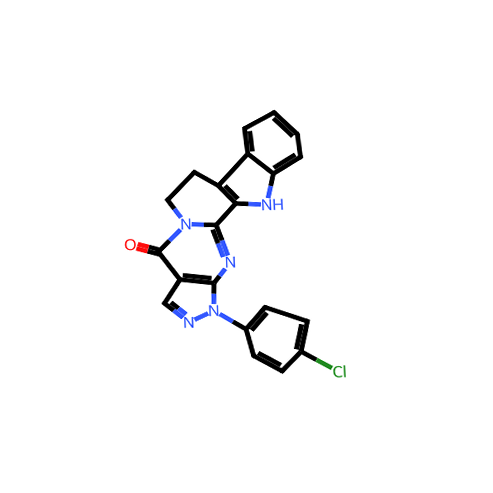 O=c1c2cnn(-c3ccc(Cl)cc3)c2nc2n1CCc1c-2[nH]c2ccccc12